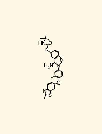 Cc1nc2ccc(Oc3ccc(N4C=Nc5ccc(N=C6NC(C)(C)CO6)cc5C4N)cc3C)cc2s1